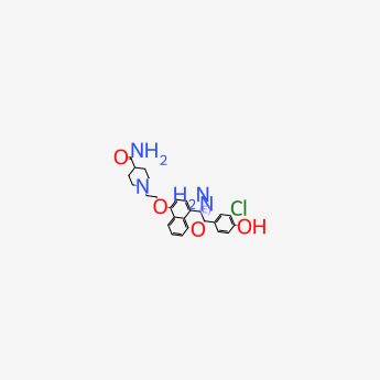 N/N=C(/C(=O)c1ccc(O)c(Cl)c1)c1ccc(OCCN2CCC(C(N)=O)CC2)c2ccccc12